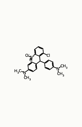 CN(C)c1ccc(C(c2ccc(N(C)C)cc2)c2c(Cl)cccc2[N+](=O)[O-])cc1